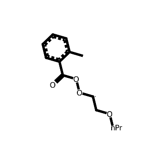 CCCOC[CH]OOC(=O)c1ccccc1C